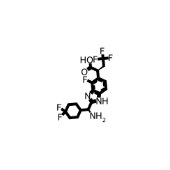 N[C@H](c1nc2c(F)c([C@H](CC(F)(F)F)C(=O)O)ccc2[nH]1)C1CCC(F)(F)CC1